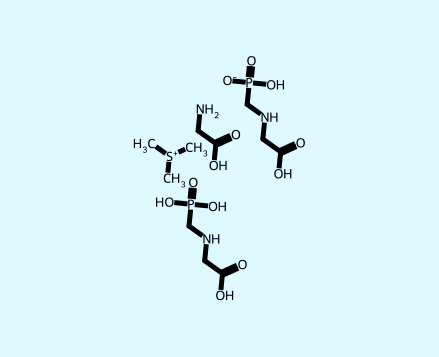 C[S+](C)C.NCC(=O)O.O=C(O)CNCP(=O)(O)O.O=C(O)CNCP(=O)([O-])O